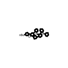 CCCCc1ccc2c(c1)oc1ccc(-c3ccccc3-n3c4ccccc4c4ccc5c(c6ccccc6n5-c5ccccc5)c43)cc12